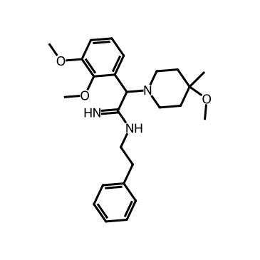 COc1cccc(C(C(=N)NCCc2ccccc2)N2CCC(C)(OC)CC2)c1OC